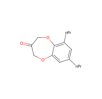 CCCc1cc(CCC)c2c(c1)OCC(=O)CO2